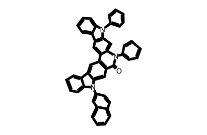 O=c1c2cc3c(cc2c2cc4c5ccccc5n(-c5ccccc5)c4cc2n1-c1ccccc1)c1ccccc1n3-c1ccc2ccccc2c1